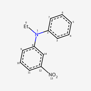 CCN(c1ccccc1)c1cccc([N+](=O)[O-])c1